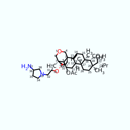 CC(=O)O[C@@H]1C[C@]23COC[C@@](C)([C@@H]2CC[C@H]2C3=CC[C@@]3(C)[C@H](C(=O)O)[C@@](C)([C@H](C)C(C)C)CC[C@]23C)[C@H]1OCCN1CCC(N)C1